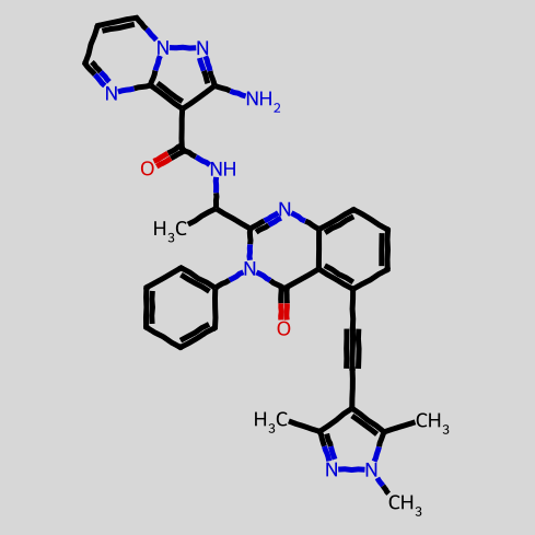 Cc1nn(C)c(C)c1C#Cc1cccc2nc(C(C)NC(=O)c3c(N)nn4cccnc34)n(-c3ccccc3)c(=O)c12